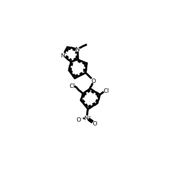 Cn1cnc2ccc(Oc3c(Cl)cc([N+](=O)[O-])cc3Cl)cc21